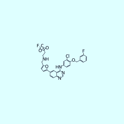 O=S(=O)(CCNCc1ccc(-c2ccc3ncnc(Nc4ccc(OCc5cccc(F)c5)c(Cl)c4)c3c2)o1)C(F)(F)F